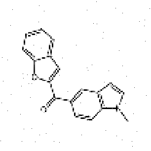 Cn1ccc2cc(C(=O)c3cc4ccccc4o3)ccc21